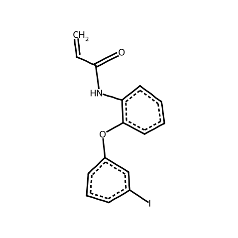 C=CC(=O)Nc1ccccc1Oc1cccc(I)c1